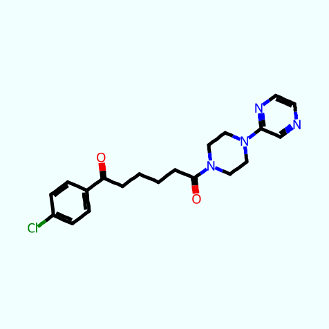 O=C(CCCCC(=O)N1CCN(c2cnccn2)CC1)c1ccc(Cl)cc1